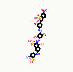 COc1cc(N=Nc2c(S(=O)(=O)O)cc3cc(Nc4ccc(N)c(S(=O)(=O)O)c4)ccc3c2O)c(O)cc1N=Nc1ccc(C=Cc2ccc([N+](=O)[O-])cc2S(=O)(=O)O)c(S(=O)(=O)O)c1